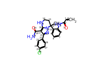 C=CC(=O)Nc1ccccc1C1(C)CCNc2c(C(N)=O)c(-c3ccc(Cl)cc3)nn21